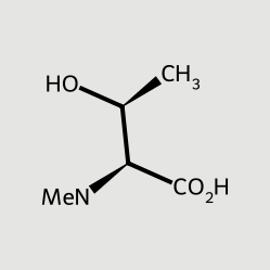 CN[C@H](C(=O)O)[C@H](C)O